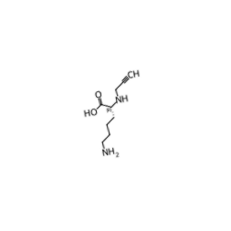 C#CCN[C@H](CCCCN)C(=O)O